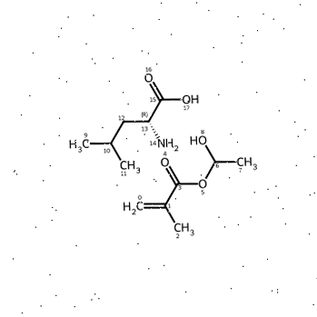 C=C(C)C(=O)OC(C)O.CC(C)C[C@@H](N)C(=O)O